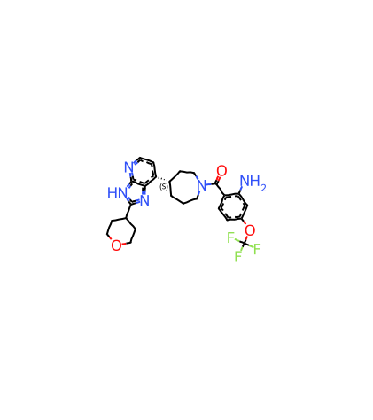 Nc1cc(OC(F)(F)F)ccc1C(=O)N1CCC[C@H](c2ccnc3[nH]c(C4CCOCC4)nc23)CC1